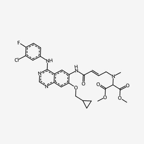 COC(=O)C(C(=O)OC)N(C)C/C=C/C(=O)Nc1cc2c(Nc3ccc(F)c(Cl)c3)ncnc2cc1OCC1CC1